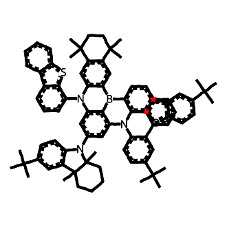 CC(C)(C)c1ccc(N2c3cc(N4c5ccc(C(C)(C)C)cc5C5(C)CCCCC45C)cc4c3B(c3cc5c(cc3N4c3cccc4c3sc3ccccc34)C(C)(C)CCC5(C)C)c3ccc4c(oc5ccc(C(C)(C)C)cc54)c32)c(-c2ccccc2)c1